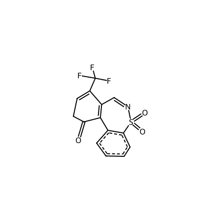 O=C1CC=C(C(F)(F)F)C2=C1c1ccccc1S(=O)(=O)N=C2